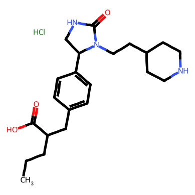 CCCC(Cc1ccc(C2CNC(=O)N2CCC2CCNCC2)cc1)C(=O)O.Cl